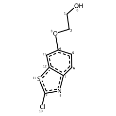 OCCOc1ccc2nc(Cl)sc2c1